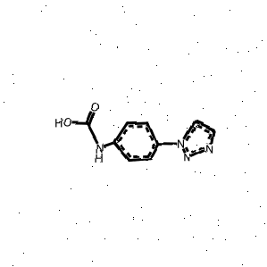 O=C(O)Nc1ccc(-n2ccnn2)cc1